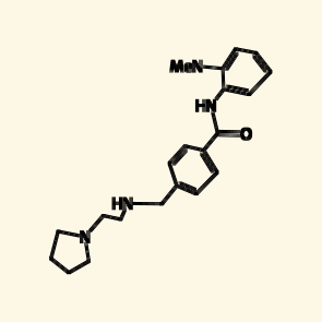 CNc1ccccc1NC(=O)c1ccc(CNCCN2CCCC2)cc1